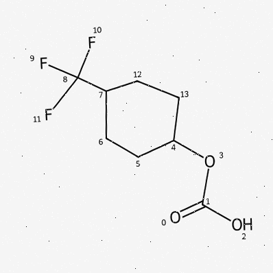 O=C(O)OC1CCC(C(F)(F)F)CC1